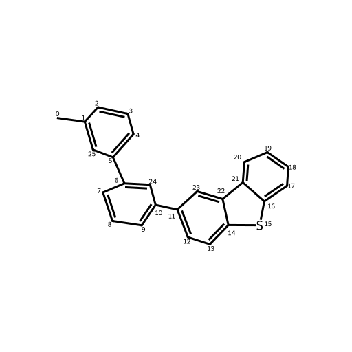 Cc1cccc(-c2cccc(-c3ccc4sc5ccccc5c4c3)c2)c1